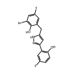 CC(=O)c1cc(F)cc(Cc2cc(-c3cc(F)ccc3O)n[nH]2)c1O